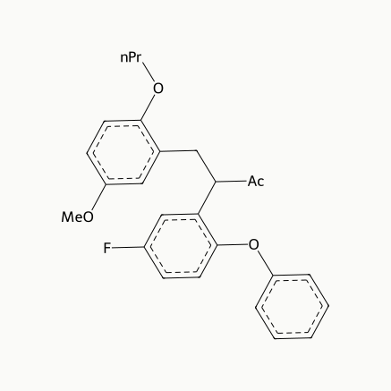 CCCOc1ccc(OC)cc1CC(C(C)=O)c1cc(F)ccc1Oc1ccccc1